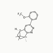 CC1(C)[C@H]2CC[C@]1(C)c1nnc(-c3ccccc3OC(F)(F)F)cc12